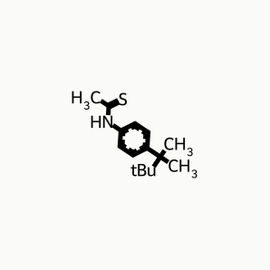 CC(=S)Nc1ccc(C(C)(C)C(C)(C)C)cc1